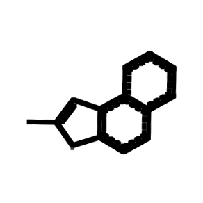 CC1=Cc2c(ccc3ccccc23)[CH]1